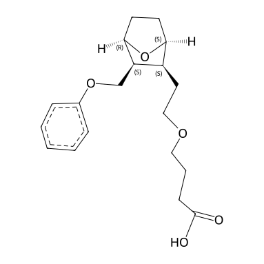 O=C(O)CCCOCC[C@H]1[C@@H](COc2ccccc2)[C@H]2CC[C@@H]1O2